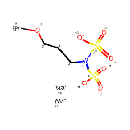 CC(C)OCCCN(S(=O)(=O)[O-])S(=O)(=O)[O-].[Na+].[Na+]